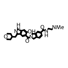 CNCCNC(=O)c1ccc2c(c1)CN(C(=O)c1cc3c(CC4CCOCC4)n[nH]c3cc1O)C2